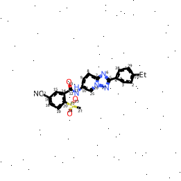 CCc1ccc(-c2nc3ccc(NC(=O)c4cc(C#N)ccc4S(C)(=O)=O)cn3n2)cc1